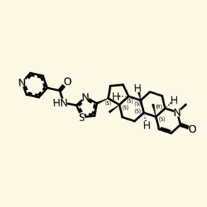 CN1C(=O)C=C[C@]2(C)[C@H]3CC[C@]4(C)[C@@H](c5csc(NC(=O)c6ccncc6)n5)CC[C@H]4[C@@H]3CC[C@@H]12